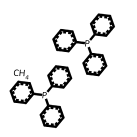 C.c1ccc(P(c2ccccc2)c2ccccc2)cc1.c1ccc(P(c2ccccc2)c2ccccc2)cc1